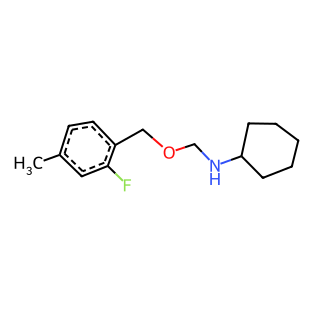 Cc1ccc(COCNC2CCCCC2)c(F)c1